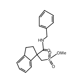 COS(=O)(=O)CC1(C(=O)NCc2ccccc2)CCc2ccccc21